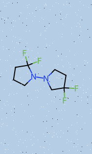 FC1(F)CCN(N2CCCC2(F)F)C1